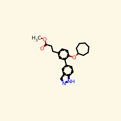 COC(=O)CCc1ccc(OC2CCCCCC2)c(-c2ccc3[nH]ncc3c2)c1